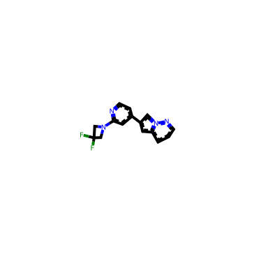 FC1(F)CN(c2cc(-c3cc4cccnn4c3)ccn2)C1